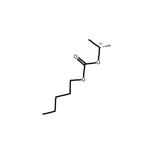 [CH2][C@@H](C)OC(=O)OCCCCC